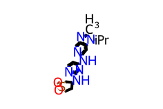 Cc1nc2cnc(Nc3ccnc(NC4CCS(=O)(=O)C4)n3)cc2n1C(C)C